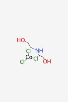 OCCNCCO.[Cl][Co]([Cl])[Cl]